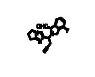 C#CCC(c1cn2c(n1)CCC2)N1Cc2c(F)cccc2C1C=O